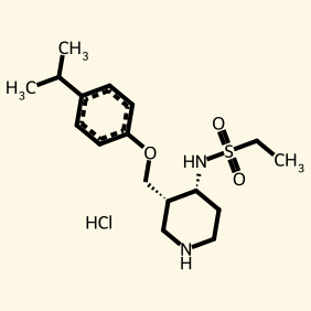 CCS(=O)(=O)N[C@@H]1CCNC[C@@H]1COc1ccc(C(C)C)cc1.Cl